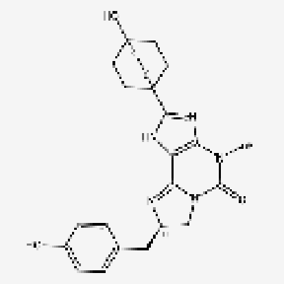 CCCN1C(=O)N2C[C@@H](Cc3ccc(O)cc3)N=C2c2[nH]c(C34CCC(O)(CC3)CC4)nc21